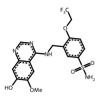 COc1cc2c(NCc3cc(S(N)(=O)=O)ccc3OCC(F)(F)F)ncnc2cc1O